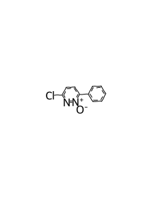 [O-][n+]1nc(Cl)ccc1-c1ccccc1